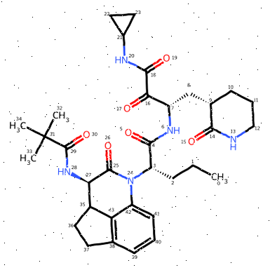 CCC[C@@H](C(=O)N[C@@H](C[C@@H]1CCCNC1=O)C(=O)C(=O)NC1CC1)N1C(=O)[C@H](NC(=O)C(C)(C)C)C2CCc3cccc1c32